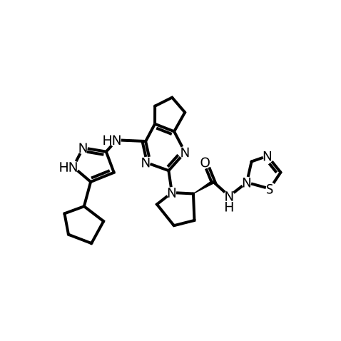 O=C(NN1CN=CS1)[C@H]1CCCN1c1nc2c(c(Nc3cc(C4CCCC4)[nH]n3)n1)CCC2